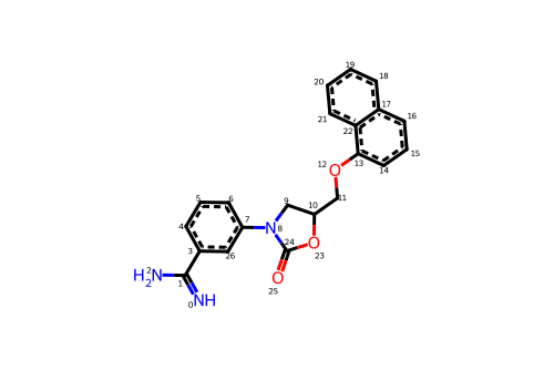 N=C(N)c1cccc(N2CC(COc3cccc4ccccc34)OC2=O)c1